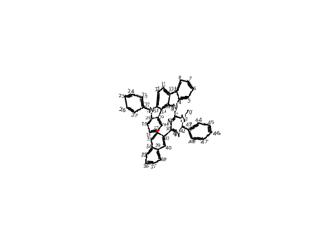 CN1C(n2c3ccccc3c3ccc4c(c5ccccc5n4-c4ccccc4)c32)=NC(c2ccc3ccccc3c2)=NC1c1ccccc1